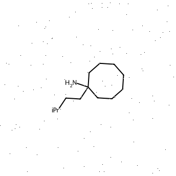 CC(C)CCC1(N)CCCCCCC1